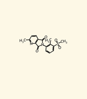 Cc1ccc2c(n1)C(=O)N(c1cccc(S(C)(=O)=O)c1C)C2=O